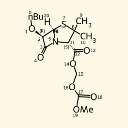 CCCCO[C@@H]1C(=O)N2[C@@H]1SC(C)(C)[C@@H]2C(=O)OCOC(=O)OC